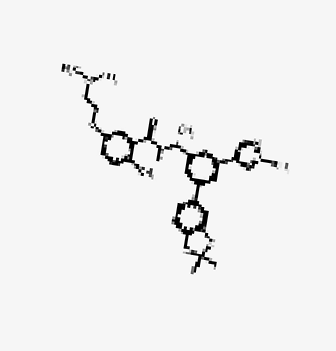 Cc1ccc(OCCN(C)C)cc1C(=O)N[C@H](C)c1cc(-c2ccc3c(c2)OC(F)(F)O3)cc(-c2cnn(C)c2)c1